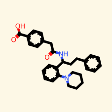 O=C(Cc1ccc(C(=O)O)cc1)NC(CCc1ccccc1)c1ccccc1N1CCCCC1